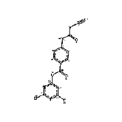 N#CCC(=O)Nc1ccc(C(=O)Oc2cc(Cl)cc(Cl)c2)cc1